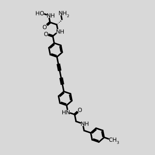 Cc1ccc(CNCC(=O)Nc2ccc(C#CC#Cc3ccc(C(=O)N[C@@H](CN)C(=O)NO)cc3)cc2)cc1